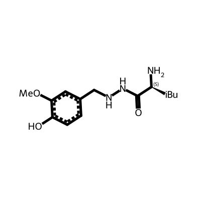 CCC(C)[C@H](N)C(=O)NNCc1ccc(O)c(OC)c1